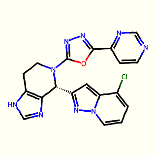 Clc1cccn2nc([C@@H]3c4nc[nH]c4CCN3c3nnc(-c4ccncn4)o3)cc12